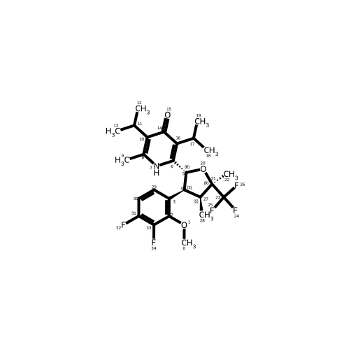 COc1c([C@H]2[C@H](c3[nH]c(C)c(C(C)C)c(=O)c3C(C)C)O[C@@](C)(C(F)(F)F)[C@H]2C)ccc(F)c1F